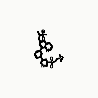 CC(Cc1cc(-c2cccc(-c3cncc(S(=O)(=O)CC[Si](C)(C)C)c3)c2)c2ncccc2c1)S(C)(=O)=O